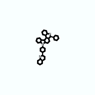 c1ccc(-c2nc3ccccc3c3c2ccc2c3c3ccccc3n2-c2ccc(-c3ccc4ccccc4n3)cc2)cc1